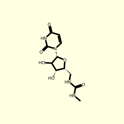 CNC(=O)NC[C@H]1O[C@@H](n2ccc(=O)[nH]c2=O)C(O)[C@H]1O